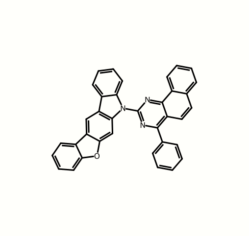 c1ccc(-c2nc(-n3c4ccccc4c4cc5c(cc43)oc3ccccc35)nc3c2ccc2ccccc23)cc1